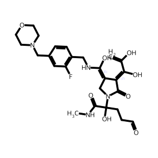 C=C(O)/C(O)=C1/C(=O)N(C(O)(CCC=O)C(=O)NC)C/C1=C(/O)NCc1ccc(CN2CCOCC2)cc1F